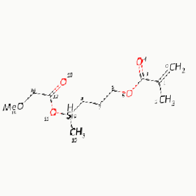 C=C(C)C(=O)OCCC[SiH](C)OC(=O)COC